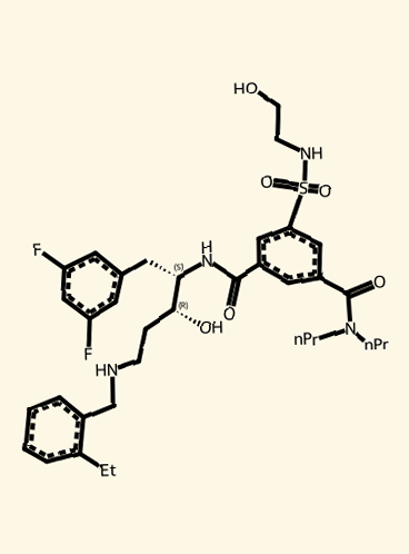 CCCN(CCC)C(=O)c1cc(C(=O)N[C@@H](Cc2cc(F)cc(F)c2)[C@H](O)CCNCc2ccccc2CC)cc(S(=O)(=O)NCCO)c1